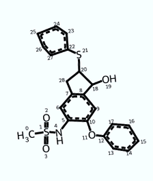 CS(=O)(=O)Nc1cc2c(cc1Oc1ccccc1)C(O)C(Sc1ccccc1)C2